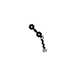 BrCCCCCCOc1ccc(C#Cc2ccccc2)cc1